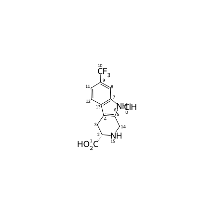 Cl.O=C(O)[C@@H]1Cc2c([nH]c3cc(C(F)(F)F)ccc23)CN1